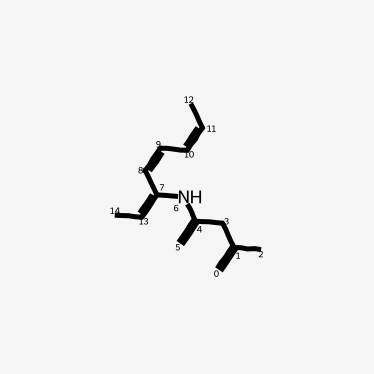 C=C(C)CC(=C)NC(/C=C\C=C/C)=C/C